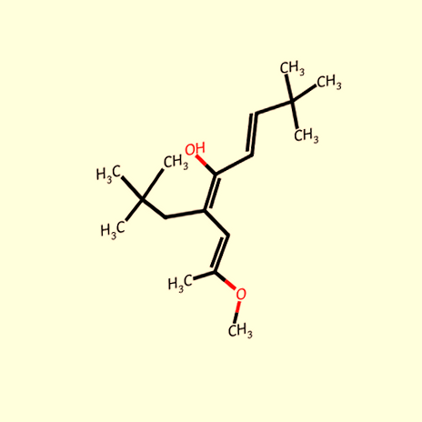 CO/C(C)=C/C(CC(C)(C)C)=C(O)\C=C\C(C)(C)C